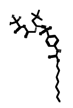 CCCCCCCCOC(=O)Nc1ccc(S(=O)(=O)N[C@H](CC(=O)OC(=O)C(F)(F)F)C[N+](C)(C)C)cc1